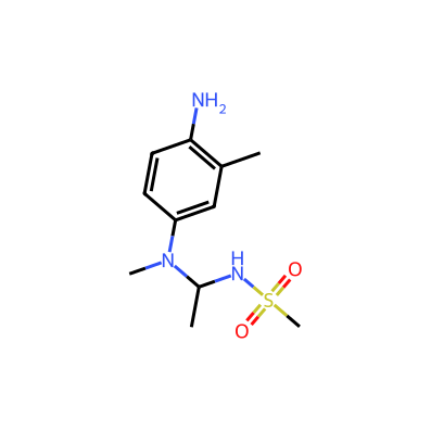 Cc1cc(N(C)C(C)NS(C)(=O)=O)ccc1N